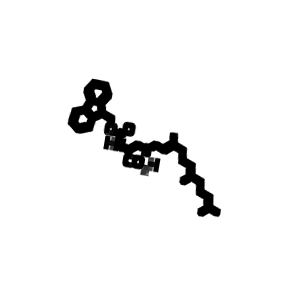 CC(C)=CCC/C(C)=C/CC/C(C)=C/CSCC(NC(=O)OCC1c2ccccc2C2C=CC=CC21)C(=O)O